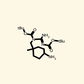 CC1(CN(C(=O)OC(C)(C)C)C(N)=NC(=O)OC(C)(C)C)CCC(N)CC1